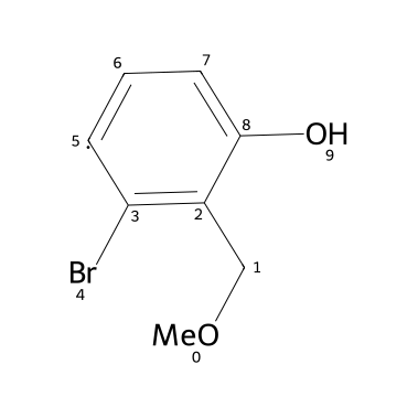 COCc1c(Br)[c]ccc1O